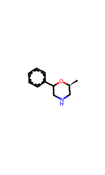 C[C@H]1CNCC(c2ccccc2)O1